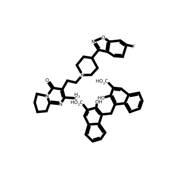 Cc1nc2n(c(=O)c1CCN1CCC(c3noc4cc(F)ccc34)CC1)CCCC2.O=C(O)c1cc2ccccc2c(Cc2c(O)c(C(=O)O)cc3ccccc23)c1O